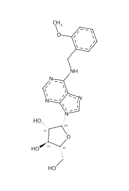 COc1ccccc1CNc1ncnc2c1ncn2[C@@H]1O[C@H](CO)[C@@H](O)[C@@H]1O